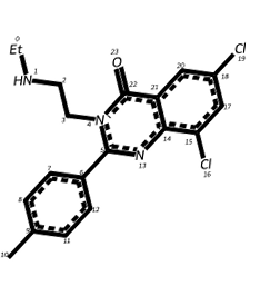 CCNCCn1c(-c2ccc(C)cc2)nc2c(Cl)cc(Cl)cc2c1=O